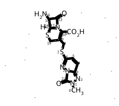 Cn1nc2ccc(SCC3=C(C(=O)O)N4C(=O)C(N)[C@@H]4SC3)nn2c1=O